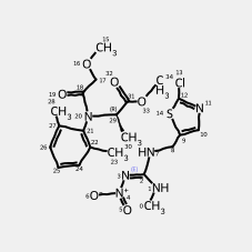 CN/C(=N\[N+](=O)[O-])NCc1cnc(Cl)s1.COCC(=O)N(c1c(C)cccc1C)[C@H](C)C(=O)OC